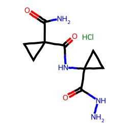 Cl.NNC(=O)C1(NC(=O)C2(C(N)=O)CC2)CC1